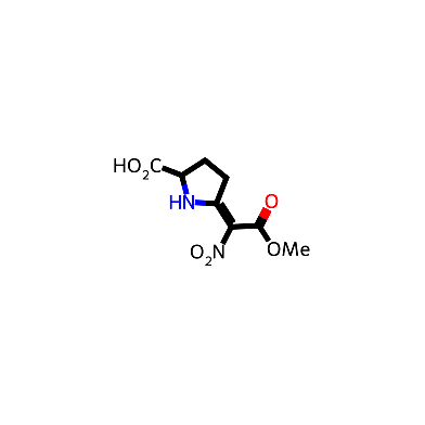 COC(=O)C(=C1CCC(C(=O)O)N1)[N+](=O)[O-]